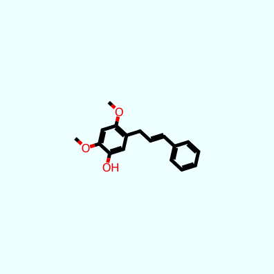 COc1cc(OC)c(C/C=C/c2ccccc2)cc1O